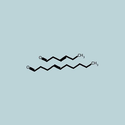 CCC=CCC=O.CCCCCC=CCCC=O